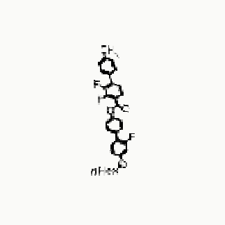 CCCCCCOc1ccc(-c2ccc(OC(=O)c3ccc(-c4ccc(C)cc4)c(F)c3F)cc2)c(F)c1